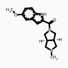 COc1ccc2[nH]c(C(=O)N3C[C@H]4CN(C)C[C@H]4C3)cc2c1